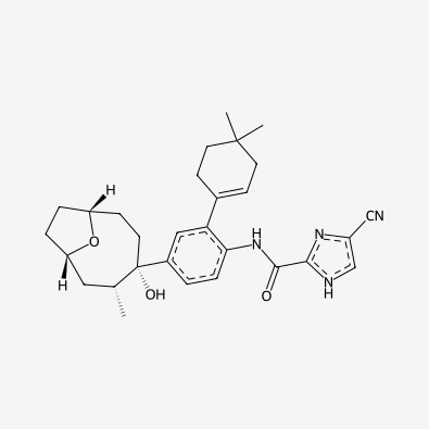 C[C@@H]1C[C@@H]2CC[C@H](CC[C@@]1(O)c1ccc(NC(=O)c3nc(C#N)c[nH]3)c(C3=CCC(C)(C)CC3)c1)O2